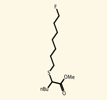 CCCCC(SCCCCCCCF)C(=O)OC